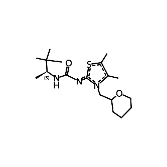 Cc1sc(=NC(=O)N[C@@H](C)C(C)(C)C)n(CC2CCCCO2)c1C